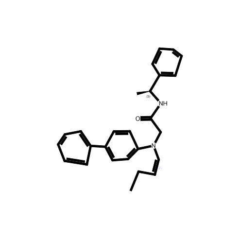 CC/C=C\N(CC(=O)N[C@@H](C)c1ccccc1)c1ccc(-c2ccccc2)cc1